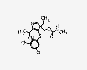 CC[N+]1(COC(=O)NC)C=NC(C(C)C)=C1Sc1cc(Cl)cc(Cl)c1